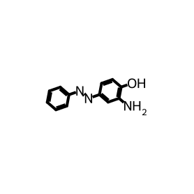 Nc1cc(/N=N/c2ccccc2)ccc1O